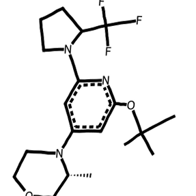 C[C@@H]1COCCN1c1cc(OC(C)(C)C)nc(N2CCCC2C(F)(F)F)c1